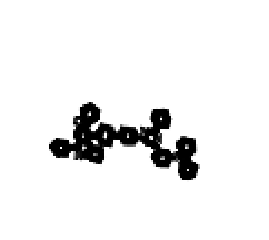 c1ccc(-c2nc(-c3ccc(-c4ccc(-c5c6c(cc7c(-c8ccccc8)nc8ccccc8c57)oc5ccccc56)cc4)cc3)cc(-c3cccc(-n4c5ccccc5c5ccccc54)c3)n2)cc1